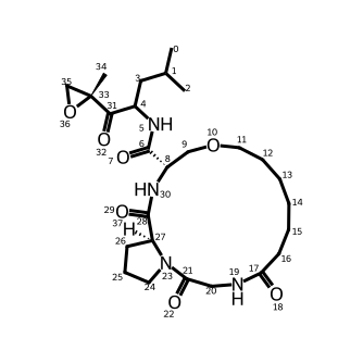 CC(C)CC(NC(=O)[C@@H]1COCCCCCCC(=O)NCC(=O)N2CCC[C@H]2C(=O)N1)C(=O)[C@@]1(C)CO1